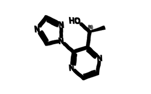 C[C@H](O)c1nccnc1-n1cncn1